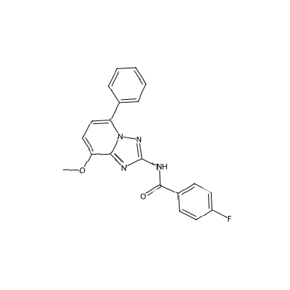 COc1ccc(-c2ccccc2)n2nc(NC(=O)c3ccc(F)cc3)nc12